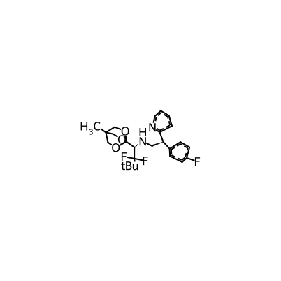 CC12COC([C@H](NC[C@H](c3ccc(F)cc3)c3ccccn3)C(F)(F)C(C)(C)C)(OC1)OC2